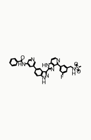 CS(=O)(=O)NCc1cc(F)cc(-c2nccc3[nH]c(-c4n[nH]c5ccc(-c6cncc(NC(=O)c7ccccc7)c6)cc45)nc23)c1